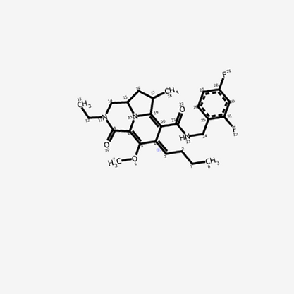 CCC/C=C1/C(OC)=C2C(=O)N(CC)CC3CC(C)C(=C1C(=O)NCc1ccc(F)cc1F)N23